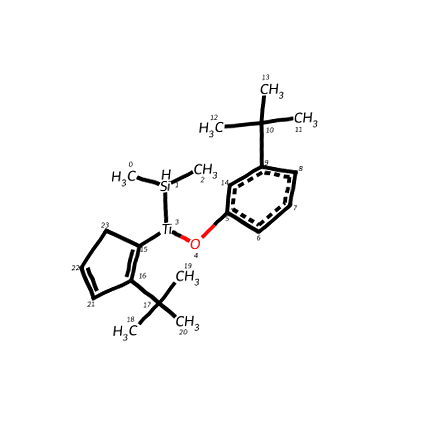 C[SiH](C)[Ti]([O]c1cccc(C(C)(C)C)c1)[C]1=C(C(C)(C)C)C=CC1